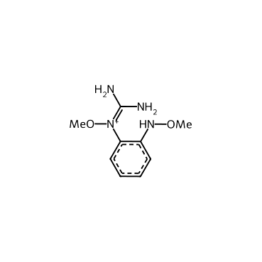 CONc1ccccc1[N+](OC)=C(N)N